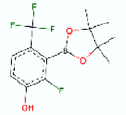 CC1(C)OB(c2c(C(F)(F)F)ccc(O)c2F)OC1(C)C